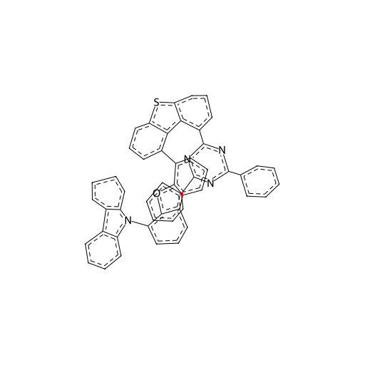 c1ccc(-c2nc(-c3ccccc3)nc(-c3cccc4sc5cccc(-c6cccc7c6oc6c(-n8c9ccccc9c9ccccc98)cccc67)c5c34)n2)cc1